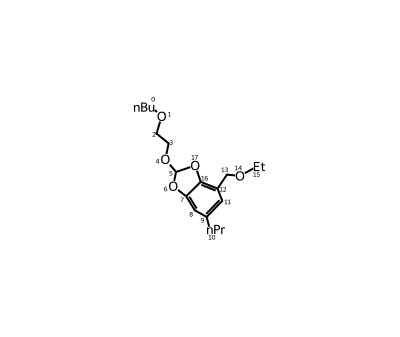 CCCCOCCOC1Oc2cc(CCC)cc(COCC)c2O1